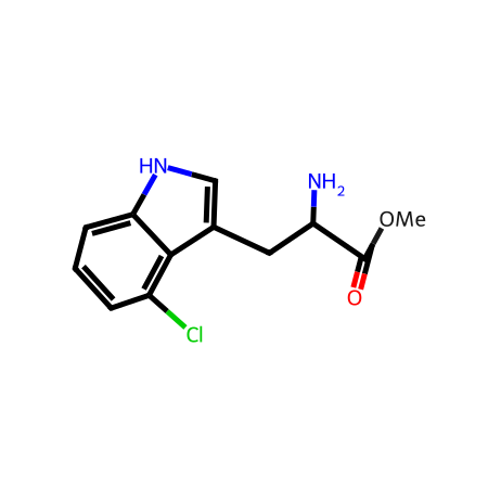 COC(=O)C(N)Cc1c[nH]c2cccc(Cl)c12